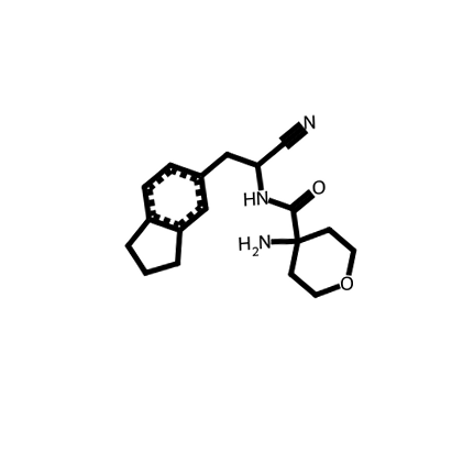 N#CC(Cc1ccc2c(c1)CCC2)NC(=O)C1(N)CCOCC1